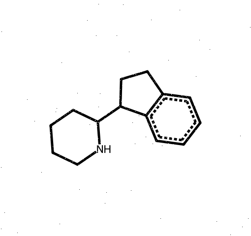 c1ccc2c(c1)CCC2C1CCCCN1